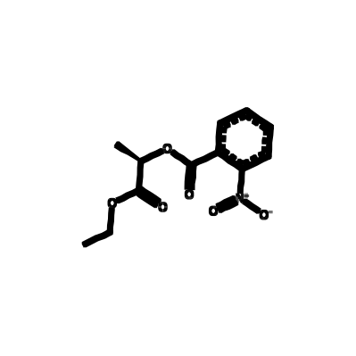 CCOC(=O)[C@@H](C)OC(=O)c1ccccc1[N+](=O)[O-]